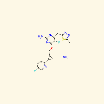 Cc1nnc(Cc2nc(N)nc(OCC3CC3c3ccc(F)cn3)c2F)s1.N